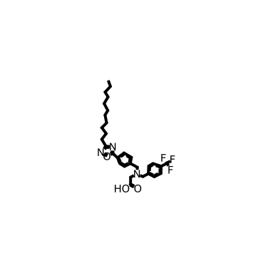 CCCCCCCCCCCc1noc(-c2ccc(CN(CC(=O)O)Cc3ccc(C(F)(F)F)cc3)cc2)n1